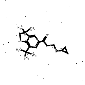 CC(C)(C)c1cc(C(=O)CCCC2CC2)cc2c1SCC2(C)C